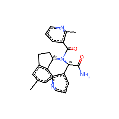 Cc1ccc2c(c1)CC[C@H]2N(C(=O)c1cccnc1C)[C@@H](C(N)=O)c1cccnc1